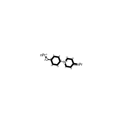 CCCO[C@H]1CC[C@H](N2CCC(CCC)CC2)CC1